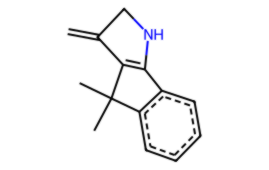 C=C1CNC2=C1C(C)(C)c1ccccc12